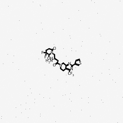 N[C@@H](CC(=O)N1CCc2c(nc(-c3ccsc3)nc2C(F)(F)F)C1)CN1C(=O)CCC(F)(F)C1O